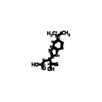 CN(C)c1ccc2sc(C(CC(=O)O)C(O)=S)nc2c1